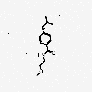 COCCNC(=O)c1ccc(CC(C)C)cc1